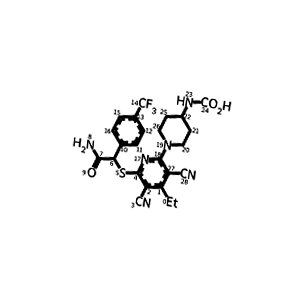 CCc1c(C#N)c(SC(C(N)=O)c2ccc(C(F)(F)F)cc2)nc(N2CCC(NC(=O)O)CC2)c1C#N